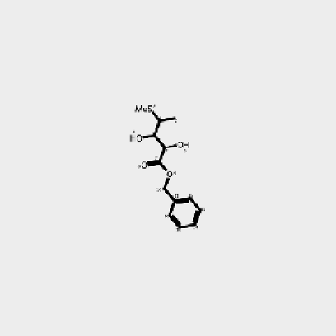 CSC(C)[C@H](O)[C@@H](O)C(=O)OCc1ccccc1